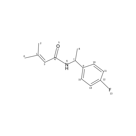 CC(C)=CC(=O)NC(C)c1ccc(F)cc1